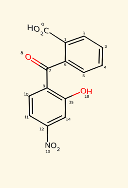 O=C(O)c1ccccc1C(=O)c1ccc([N+](=O)[O-])cc1O